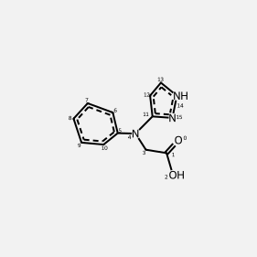 O=C(O)CN(c1ccccc1)c1cc[nH]n1